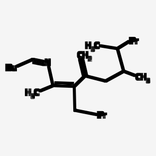 C=C(CC(C)C(C)C(C)C)/C(CC(C)C)=C(C)\N=C/C(C)CC